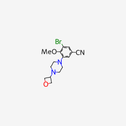 COc1c(Br)cc(C#N)cc1N1CCN(C2COC2)CC1